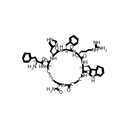 N=C(N)NCCC[C@@H]1NC(=O)[C@@H](Cc2ccccc2)NC(=O)[C@H](Cc2c[nH]cn2)NC(=O)[C@@H](NC(=O)[C@@H](N)Cc2ccccc2)CSSC[C@@H](C(N)=O)NC(=O)CCCNC(=O)[C@H](Cc2c[nH]c3ccccc23)NC1=O